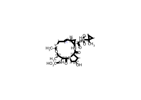 C[C@@H]1CC/C=C/[C@@H]2C[C@@]2(C(=O)NS(=O)(=O)C2(C)CC2)NC(=O)C2C[C@@H](O)CN2C(=O)[C@@H](NC(=O)O)[C@H](C)O1